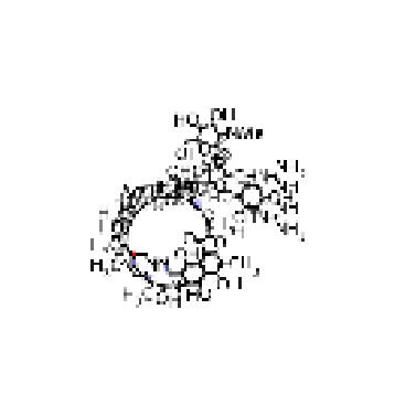 CN[C@@H]1[C@H](O[C@H]2[C@H](O[C@H]3[C@H](O)[C@@H](O)[C@H](NC(=N)N)[C@@H](O)[C@@H]3NC(=N)N)O[C@@H](C)[C@]2(O)C=O)O[C@@H](CO)[C@H](O)[C@H]1O.CO[C@H]1/C=C/O[C@@]2(C)Oc3c(C)c(O)c4c(O)c(c(/C=N/N5CCN(C)CC5)c(O)c4c3C2=O)NC(=O)/C(C)=C\C=C\[C@H](C)[C@H](O)[C@@H](C)[C@@H](O)[C@@H](C)[C@H](OC(C)=O)[C@@H]1C